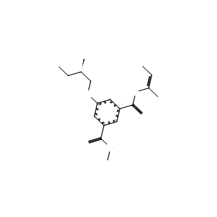 C=C(OC)c1cc(OC[C@H](C)CC)cc(C(=C)S/C(C)=C\C)c1